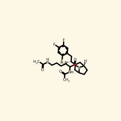 CC(=O)NCCCCC(NC(C)=O)C(=O)N1C2CC[C@H]1CC([C@H](N)Cc1cc(F)c(F)cc1F)C2